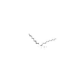 CCCCCCCCCCOC(C)CCCCCCCCCC